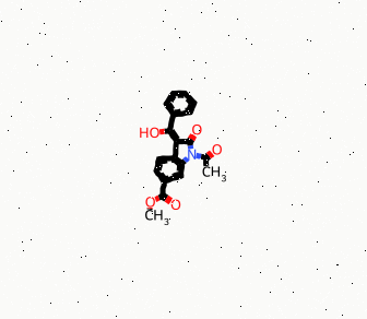 COC(=O)c1ccc2c(c1)N(C(C)=O)C(=O)C2=C(O)c1ccccc1